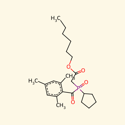 CCCCCCOC(=O)CP(=O)(C(=O)c1c(C)cc(C)cc1C)C1CCCC1